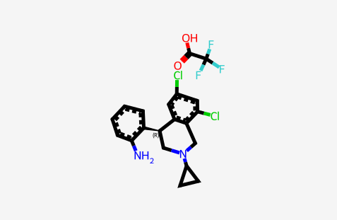 Nc1ccccc1[C@@H]1CN(C2CC2)Cc2c(Cl)cc(Cl)cc21.O=C(O)C(F)(F)F